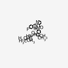 CC(C)(C)OC(=O)NCC(=O)N1CC(C)(C)c2ccc(NC(=O)c3cccnc3NCc3ccc(F)cc3)cc21